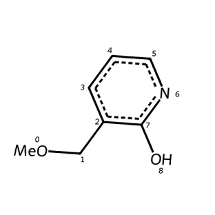 COCc1cccnc1O